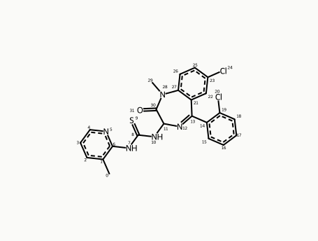 Cc1cccnc1NC(=S)NC1N=C(c2ccccc2Cl)c2cc(Cl)ccc2N(C)C1=O